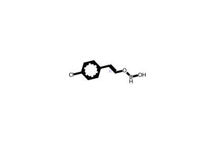 OBO/C=C/c1ccc(Cl)cc1